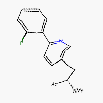 CN[C@@H](Cc1ccc(-c2ccccc2F)nc1)C(C)=O